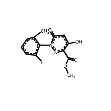 COC(=O)c1nn(-c2c(C)cccc2F)c(=O)cc1O